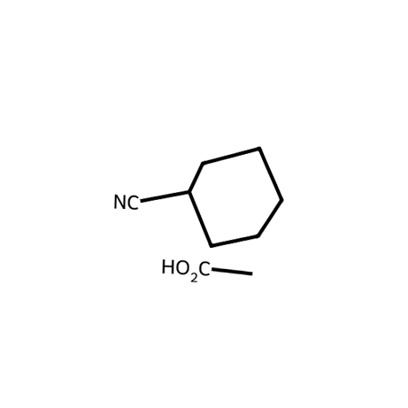 CC(=O)O.N#CC1CCCCC1